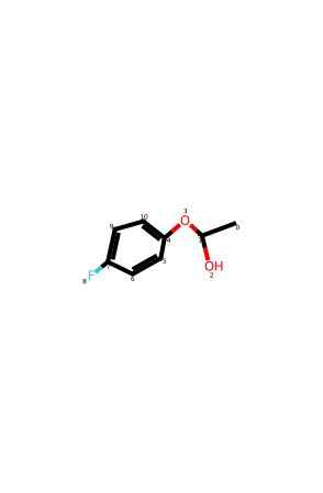 C[C](O)Oc1ccc(F)cc1